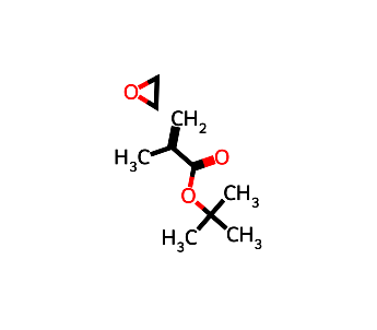 C1CO1.C=C(C)C(=O)OC(C)(C)C